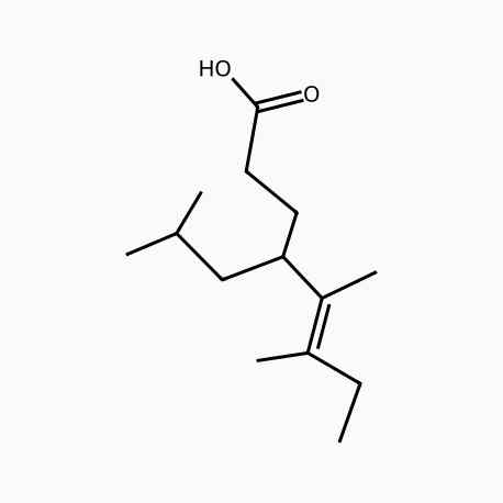 CC/C(C)=C(\C)C(CCC(=O)O)CC(C)C